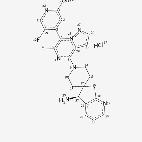 COc1cc(-c2c(C)nc(N3CCC4(CC3)Cc3ncccc3[C@H]4N)c3ccnn23)c(F)cn1.Cl